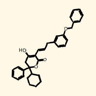 O=C1OC(c2ccccc2)(C2CCCCC2)CC(O)=C1C=CCc1cccc(OCc2ccccc2)c1